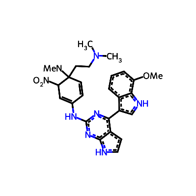 CNC1(CCN(C)C)C=CC(Nc2nc(-c3c[nH]c4c(OC)cccc34)c3cc[nH]c3n2)=CC1[N+](=O)[O-]